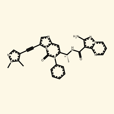 Cc1c(C#Cc2cnc3cc([C@@H](C)NC(=O)c4c(N)nn5cccnc45)n(-c4ccccc4)c(=O)n23)cnn1C